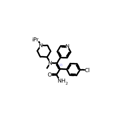 CC(C)N1CCC(N(C)/C(=C(\C(N)=O)c2ccc(Cl)cc2)c2ccncc2)CC1